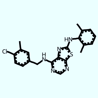 Cc1cc(CNc2ncnc3sc(Nc4c(C)cccc4C)nc23)ccc1Cl